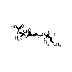 CCCC(C)(C)OOC=CC(=O)OC(C)(C)OC(=O)O